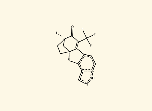 O=C1C(C(F)(F)F)=C2c3ccc4[nH]ncc4c3C[C@@]23CC[C@@H]1C3